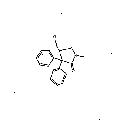 CN1CC(CCl)C(c2ccccc2)(c2ccccc2)C1=O